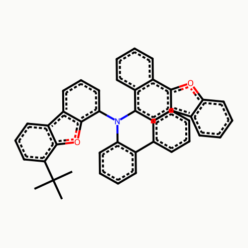 CC(C)(C)c1cccc2c1oc1c(N(c3ccccc3-c3ccccc3)c3cc4c5ccccc5oc4c4ccccc34)cccc12